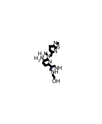 N=C/C(=C\NCCO)c1ccc(N)c(N(N)Cc2ccc3ncsc3n2)n1